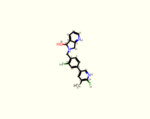 Cc1cc(-c2ccc(CN3Cc4ncccc4C3O)c(F)c2)cnc1F